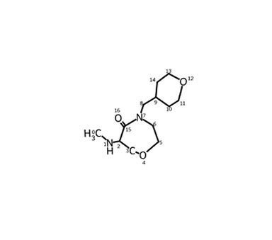 CNC1COCCN(CC2CCOCC2)C1=O